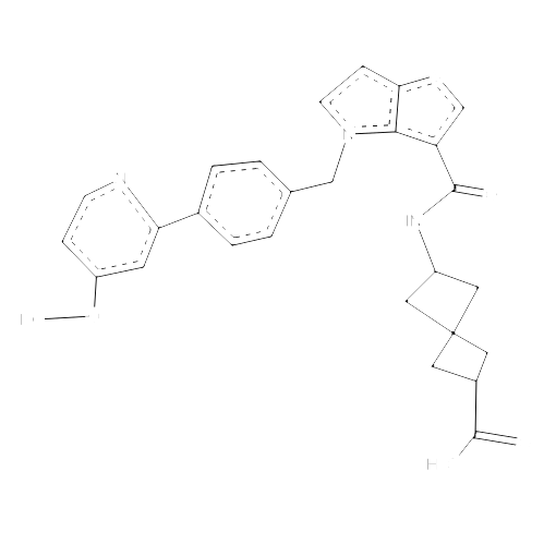 COc1ccnc(-c2ccc(Cn3ccc4scc(C(=O)NC5CC6(C5)CC(C(C)=O)C6)c43)cc2)c1